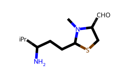 CC(C)C(N)CCC1SCC(C=O)N1C